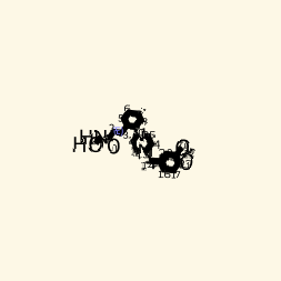 O=C(/C=C/c1ccccc1N1CCN(Cc2ccc3c(c2)OCO3)CC1)NO